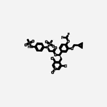 CS(=O)(=O)Nc1ccc(N(CC(=O)O[C@@H](Cc2c(Cl)c[n+]([O-])cc2Cl)c2ccc(OC(F)F)c(OCC3CC3)c2)S(C)(=O)=O)cc1